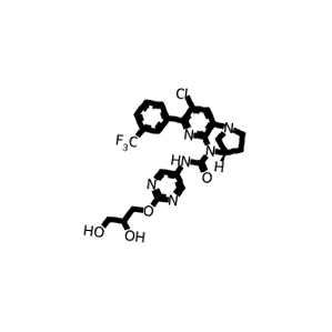 O=C(Nc1cnc(OCC(O)CO)nc1)N1c2nc(-c3cccc(C(F)(F)F)c3)c(Cl)cc2N2CC[C@H]1C2